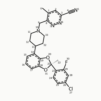 Cc1cc(C#N)nnc1CN1CCC(c2cccc3c2O[C@@](C)(c2ccc(Cl)cc2F)O3)CC1